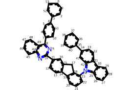 c1ccc(-c2ccc(-c3nc(-c4ccc5c(c4)Cc4c-5cccc4-n4c5ccccc5c5ccc(-c6ccccc6)cc54)nc4ccccc34)cc2)cc1